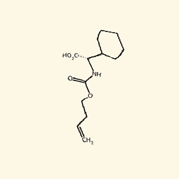 C=CCCOC(=O)N[C@H](C(=O)O)C1CCCCC1